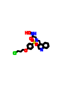 O=C(CN(Cc1ccnc2ccccc12)S(=O)(=O)c1ccc(OCCCCl)cc1)NO